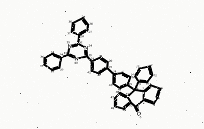 O=C1c2ccccc2C(c2ccccc2)(c2ccc(-c3ccc(-c4nc(-c5ccccc5)nc(-c5ccccc5)n4)cc3)cc2)c2ccccc21